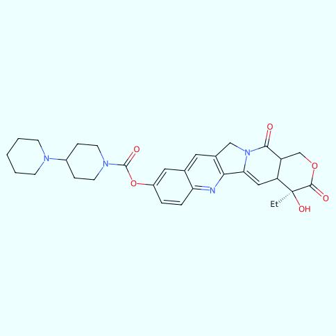 CC[C@@]1(O)C(=O)OCC2C(=O)N3Cc4cc5cc(OC(=O)N6CCC(N7CCCCC7)CC6)ccc5nc4C3=CC21